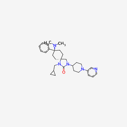 CN(C)[C@]1(c2ccccc2)CC[C@]2(CC1)CN(C1CCN(c3cccnc3)CC1)C(=O)N2CC1CC1